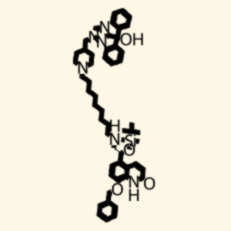 CC(C)(C)[Si](C)(C)O[C@@H](CNCCCCCCCCCN1CCC(Cn2cnc(C(O)(c3ccccc3)c3ccccc3)n2)CC1)c1ccc(OCc2ccccc2)c2[nH]c(=O)ccc12